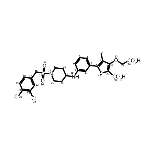 Cc1c(-c2cccc(NC3CCN(S(=O)(=O)Cc4ccc(Cl)c(Cl)c4)CC3)c2)sc(C(=O)O)c1OCC(=O)O